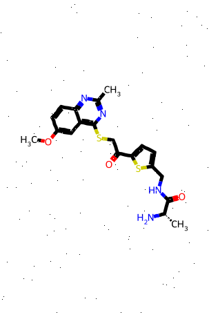 COc1ccc2nc(C)nc(SCC(=O)c3ccc(CNC(=O)[C@H](C)N)s3)c2c1